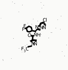 O=C(N[C@H](c1cn2ncc(Cl)cc2n1)C1CCC(F)(F)CC1)c1cnn(CCC(F)(F)F)c1